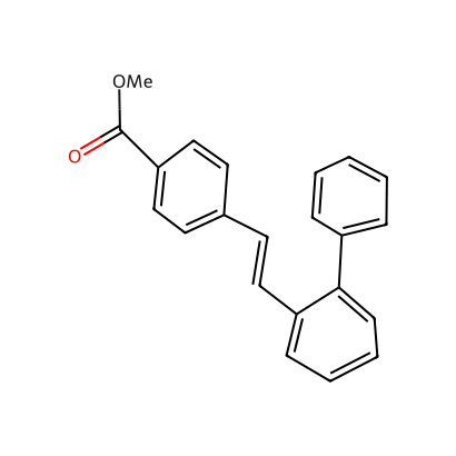 COC(=O)c1ccc(C=Cc2ccccc2-c2ccccc2)cc1